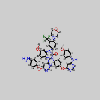 COc1ccc(Nc2cc(Oc3ccc(N(C(=O)Nc4ccc(N5CCOCC5)c(C(F)(F)F)c4)N(c4ccc(OC)cc4)c4cc(Oc5ccc(N)cc5)ncn4)cc3)ncn2)cc1